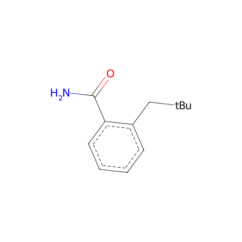 CC(C)(C)Cc1ccccc1C(N)=O